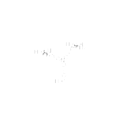 CCc1ccc(/C=C/c2ccc(N(c3ccc(/C=C/c4ccc([Si](C)(C)C)cc4)cc3)c3ccc(/C=C/c4ccc([Si](C)(C)C)cc4)cc3)cc2)cc1